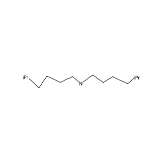 CC(C)CCCC[N]CCCCC(C)C